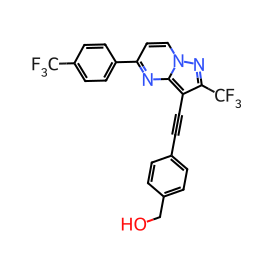 OCc1ccc(C#Cc2c(C(F)(F)F)nn3ccc(-c4ccc(C(F)(F)F)cc4)nc23)cc1